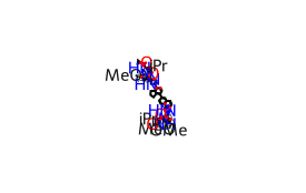 COC[C@H]1C[C@@H](c2ncc(-c3ccc(-c4ccc5c(ccc6nc([C@@H]7C[C@H](COC)CN7C(=O)[C@@H](NC(=O)OC)C(C)C)[nH]c65)c4)c4c3CCC4)[nH]2)N(C(=O)[C@@H](NC(=O)C2CC2)C(C)C)C1